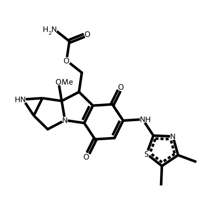 COC12C(COC(N)=O)C3=C(C(=O)C=C(Nc4nc(C)c(C)s4)C3=O)N1CC1NC12